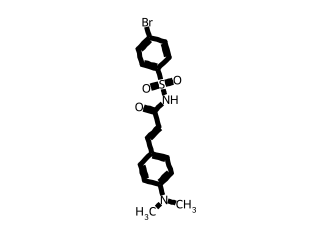 CN(C)c1ccc(C=CC(=O)NS(=O)(=O)c2ccc(Br)cc2)cc1